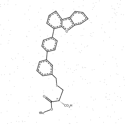 CC(C)(C)OC(=O)[C@H](CSCc1cccc(-c2ccc(-c3cccc4c3oc3ccccc34)cc2)c1)C(=O)O